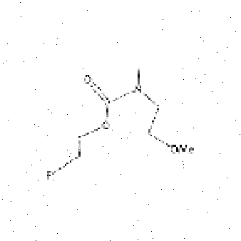 COCCN(C)C(=O)OCCF